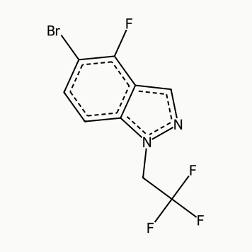 Fc1c(Br)ccc2c1cnn2CC(F)(F)F